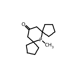 CP1C2(CCCC2)CC(=O)CC12CCCC2